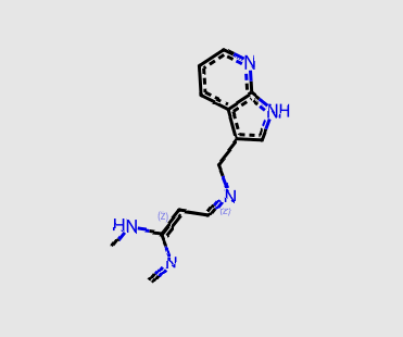 C=N/C(=C\C=N/Cc1c[nH]c2ncccc12)NC